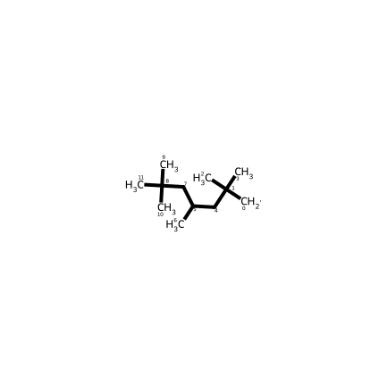 [CH2]C(C)(C)CC(C)CC(C)(C)C